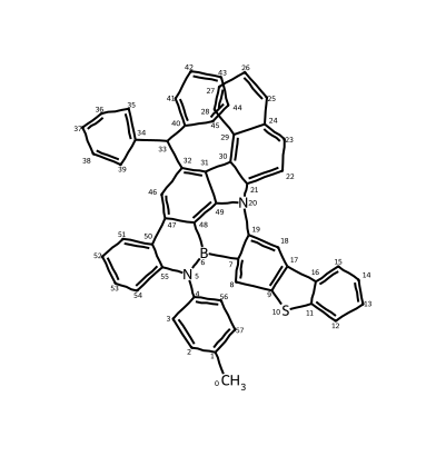 Cc1ccc(N2B3c4cc5sc6ccccc6c5cc4-n4c5ccc6ccccc6c5c5c(C(c6ccccc6)c6ccccc6)cc(c3c54)-c3ccccc32)cc1